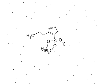 CCCC1=[C]([Zr]([O]C)([O]C)[O]C)CC=C1